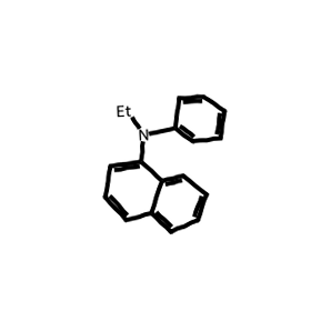 CCN(c1ccccc1)c1cccc2ccccc12